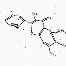 Cc1cc2oc(-c3ccccc3)c(O)c(=O)c2c(C)c1C